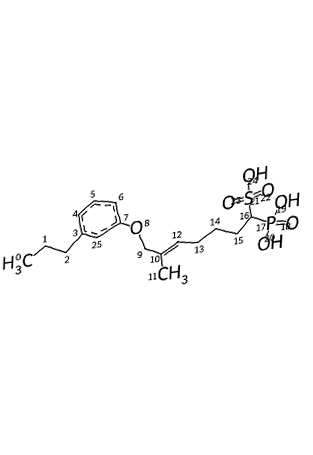 CCCc1cccc(OCC(C)=CCCCC(P(=O)(O)O)S(=O)(=O)O)c1